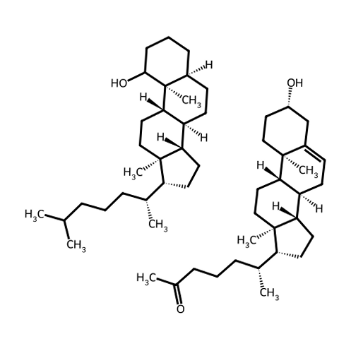 CC(=O)CCC[C@@H](C)[C@H]1CC[C@H]2[C@@H]3CC=C4C[C@@H](O)CC[C@]4(C)[C@H]3CC[C@]12C.CC(C)CCC[C@@H](C)[C@H]1CC[C@H]2[C@@H]3CC[C@@H]4CCCC(O)[C@]4(C)[C@H]3CC[C@]12C